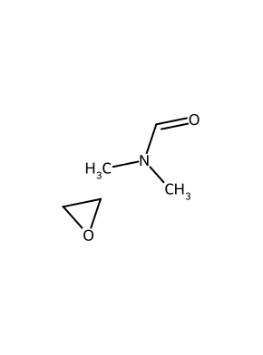 C1CO1.CN(C)C=O